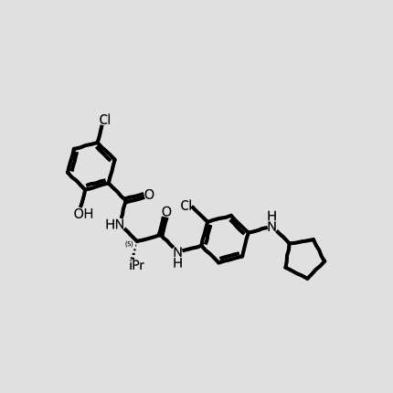 CC(C)[C@H](NC(=O)c1cc(Cl)ccc1O)C(=O)Nc1ccc(NC2CCCC2)cc1Cl